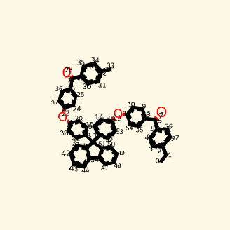 CCc1ccc(C(=O)c2ccc(Oc3ccc(C4(c5ccc(Oc6ccc(C(=O)c7ccc(C)cc7)cc6)cc5)c5ccccc5-c5ccccc54)cc3)cc2)cc1